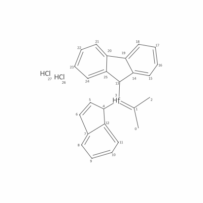 C[C](C)=[Hf]([CH]1C=Cc2ccccc21)[CH]1c2ccccc2-c2ccccc21.Cl.Cl